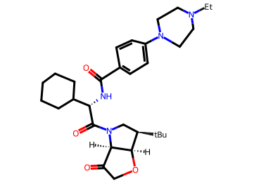 CCN1CCN(c2ccc(C(=O)N[C@H](C(=O)N3C[C@@H](C(C)(C)C)[C@H]4OCC(=O)[C@H]43)C3CCCCC3)cc2)CC1